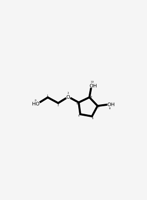 OCCOC1CCC(O)C1O